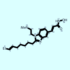 CCC=CCCCCCc1nc2cc(/C=C/C(=O)NO)ccc2n1CCNC